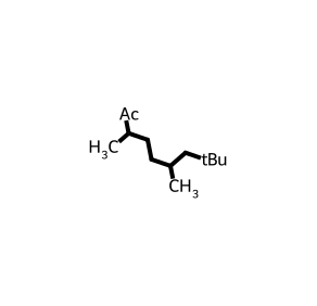 CC(=O)C(C)CCC(C)CC(C)(C)C